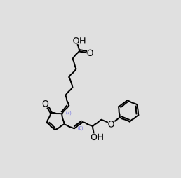 O=C(O)CCCCC/C=C1\C(=O)C=CC1/C=C/C(O)COc1ccccc1